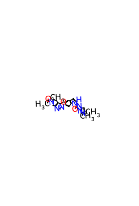 CC(=O)N1Cc2ncnc(Oc3ccc4c(ccn4C(=O)Nc4cc(C)n(C)n4)c3)c2C[C@@H]1C